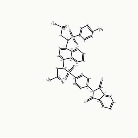 Nc1ccc(S(=O)(=O)N(CC(=O)O)c2ccc(N(CC(=O)O)S(=O)(=O)c3ccc(N4C(=O)c5ccccc5C4=O)cc3)c3ccccc23)cc1